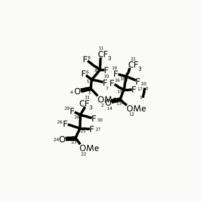 CC.COC(=O)C(F)(F)C(F)(F)C(F)(F)F.COC(=O)C(F)(F)C(F)(F)C(F)(F)F.COC(=O)C(F)(F)C(F)(F)C(F)(F)F